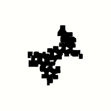 N#Cc1c(C(F)(F)F)cc(-c2ccc(-c3cc(C(F)(F)F)cc(S(=O)(=O)CC4CC4)c3)cc2)n(Cc2ccc(F)cc2F)c1=O